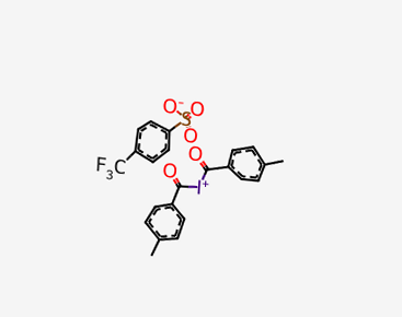 Cc1ccc(C(=O)[I+]C(=O)c2ccc(C)cc2)cc1.O=S(=O)([O-])c1ccc(C(F)(F)F)cc1